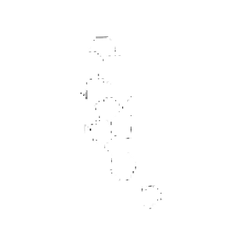 CC1(C)c2cc(-c3cccs3)cnc2-c2ncc3c(c21)C(C)(C)C1C=C(c2cccs2)C=CC31